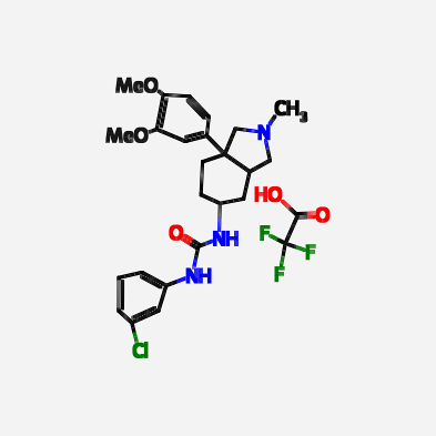 COc1ccc(C23CCC(NC(=O)Nc4cccc(Cl)c4)CC2CN(C)C3)cc1OC.O=C(O)C(F)(F)F